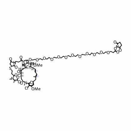 COc1cc2cc(c1Cl)N(C)C(=O)C[C@H](OC(=O)[C@@H](C)N(C)C(=O)CCSC1CC(=O)N(CCC(=O)NCCOCCOCCOCCOCCOCCOCCOCCOCCOCCOCCOCCOCCC(=O)ON3C(=O)CCC3=O)C1=O)[C@]1(C)O[C@H]1[C@H](C)[C@@H]1C[C@@](O)(NC(=O)O1)[C@H](OC)/C=C/C=C(\C)C2